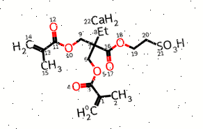 C=C(C)C(=O)OCC(CC)(COC(=O)C(=C)C)C(=O)OCCS(=O)(=O)O.[CaH2]